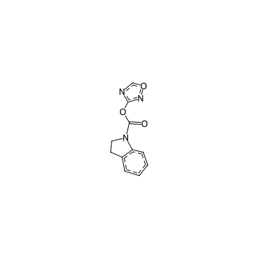 O=C(Oc1ncon1)N1CCc2ccccc21